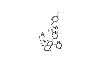 CN1CCC(N(C)c2ccnc3c(-c4ccccn4)c(-c4ccnc(NC(=O)Cc5ccc(F)cc5)c4)[nH]c23)CC1